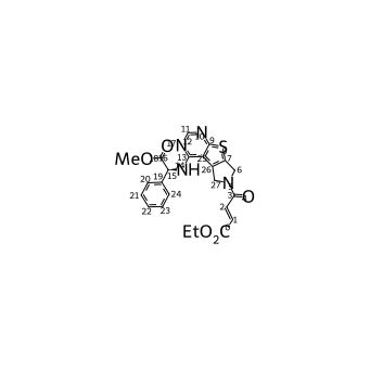 CCOC(=O)/C=C/C(=O)N1Cc2sc3ncnc(N[C@H](C(=O)OC)c4ccccc4)c3c2C1